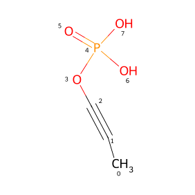 CC#COP(=O)(O)O